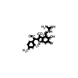 CCOC(=O)c1c(C(=S=O)c2ccc(C)cc2)n(C)c2cc(Br)c(O)c(CNC(=N)N)c12